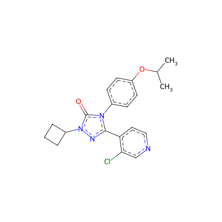 CC(C)Oc1ccc(-n2c(-c3ccncc3Cl)nn(C3CCC3)c2=O)cc1